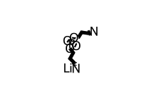 N#CCCOP(=O)([O-])OCCC#N.[Li+]